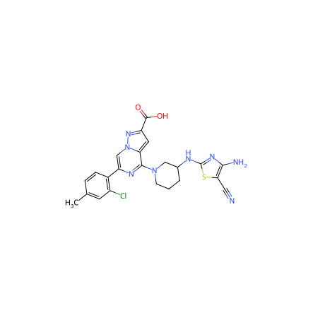 Cc1ccc(-c2cn3nc(C(=O)O)cc3c(N3CCCC(Nc4nc(N)c(C#N)s4)C3)n2)c(Cl)c1